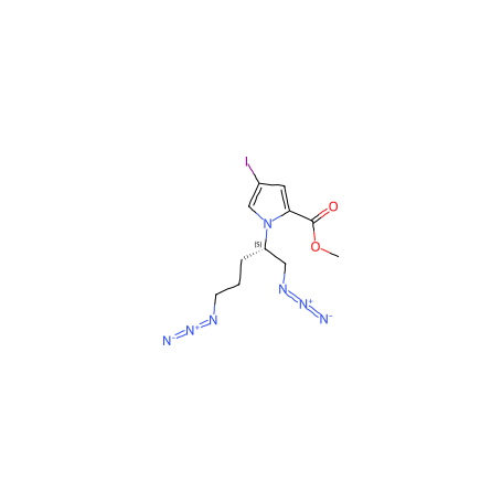 COC(=O)c1cc(I)cn1[C@@H](CCCN=[N+]=[N-])CN=[N+]=[N-]